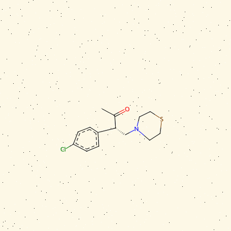 CC(=O)[C@H](CN1CCSCC1)c1ccc(Cl)cc1